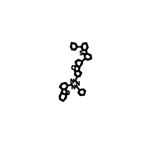 c1ccc(-c2nc(-c3ccc4c(c3)oc3ccc(-c5cccc6c5sc5c(-c7ccccc7)cccc56)cc34)nc(-c3cccc4c3oc3ccccc34)n2)cc1